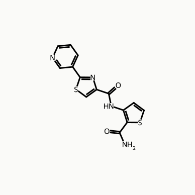 NC(=O)c1sccc1NC(=O)c1csc(-c2cccnc2)n1